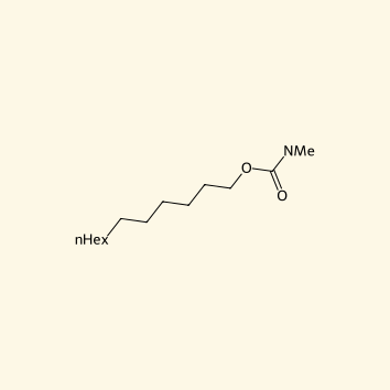 CCCCCCCCCCCCOC(=O)NC